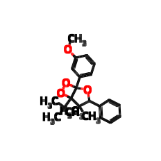 COc1cccc(C23OOC2(C(C)(C)C)C(C)(C)C(c2ccccc2)O3)c1